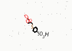 O=c1occ(CSc2ccc(S(=O)(=O)O)cc2)o1